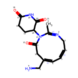 C/C1=N/C/C=C\C=C(\CN)CC(=O)N1C1CCC(=O)NC1=O